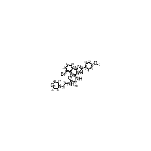 COc1ccc(-c2nc3c4cccc(Br)c4nc(N[C@H](C)C(=O)NCCN4CCOCC4)n3n2)cc1